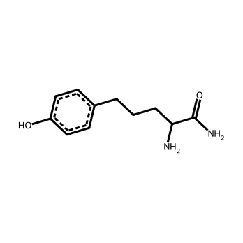 NC(=O)C(N)CCCc1ccc(O)cc1